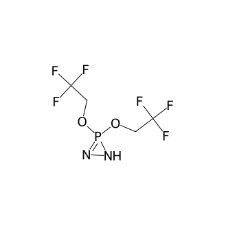 FC(F)(F)COP1(OCC(F)(F)F)=NN1